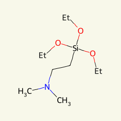 CCO[Si](CCN(C)C)(OCC)OCC